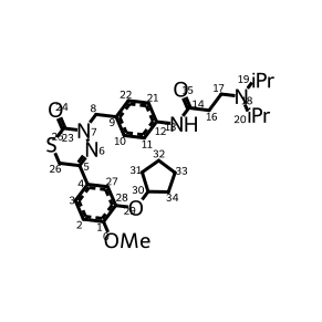 COc1ccc(C2=NN(Cc3ccc(NC(=O)CCN(C(C)C)C(C)C)cc3)C(=O)SC2)cc1OC1CCCC1